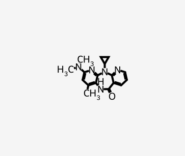 Cc1cc(N(C)C)nc2c1NC(=O)c1cccnc1N2C1CC1